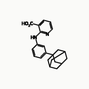 O=C(O)c1cccnc1Nc1cccc(C23CC4CC(CC(C4)C2)C3)c1